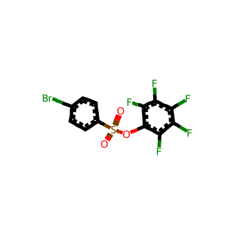 O=S(=O)(Oc1c(F)c(F)c(F)c(F)c1F)c1ccc(Br)cc1